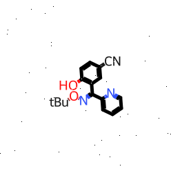 CC(C)(C)ON=C(c1ccccn1)c1cc(C#N)ccc1O